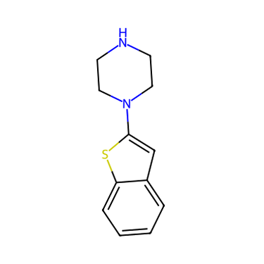 c1ccc2sc(N3CCNCC3)cc2c1